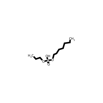 CCCCCCCOP(=O)(O)OCCC